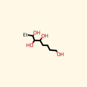 CCC(O)C(O)C(O)CCCCO